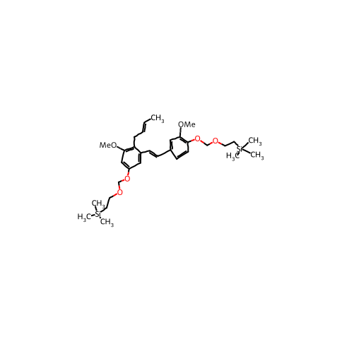 C/C=C/Cc1c(/C=C/c2ccc(OCOCC[Si](C)(C)C)c(OC)c2)cc(OCOCC[Si](C)(C)C)cc1OC